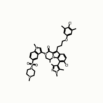 Cc1cc(OCCCc2c3n(c4c(-c5c(C)nn(C)c5C)c(Cl)ccc24)C(C)CN(c2cn(C)c4ccc(S(=O)(=O)N5CCN(C)CC5)cc24)C3=O)cc(C)c1Cl